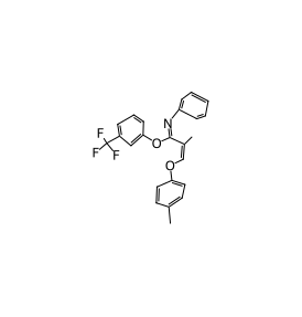 CC(=COc1ccc(C)cc1)C(=Nc1ccccc1)Oc1cccc(C(F)(F)F)c1